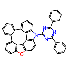 c1ccc(-c2nc(-c3ccccc3)nc(-n3c4cccc5c6ccccc6c6cccc7oc8ccc3c(c8c76)c54)n2)cc1